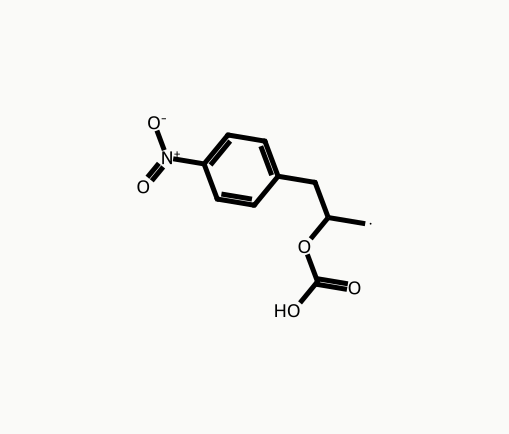 [CH2]C(Cc1ccc([N+](=O)[O-])cc1)OC(=O)O